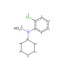 O=C(O)N(c1ccccc1Cl)C1CCCCC1